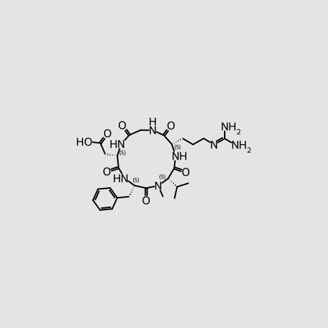 CC(C)[C@H]1C(=O)N[C@@H](CCCN=C(N)N)C(=O)NCC(=O)N[C@@H](CC(=O)O)C(=O)N[C@@H](Cc2ccccc2)C(=O)N1C